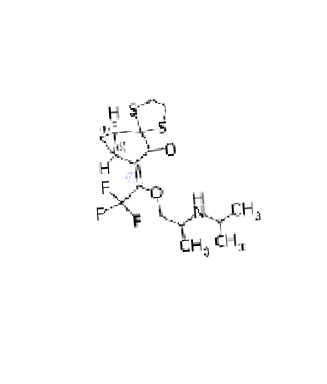 CC(C)NC(C)CO/C(=C1\C(=O)C2(SCCS2)[C@@H]2C[C@H]12)C(F)(F)F